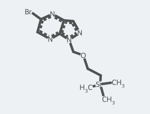 C[Si](C)(C)CCOCn1ncc2nc(Br)cnc21